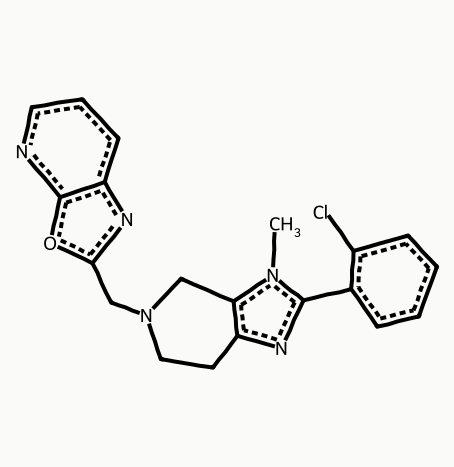 Cn1c(-c2ccccc2Cl)nc2c1CN(Cc1nc3cccnc3o1)CC2